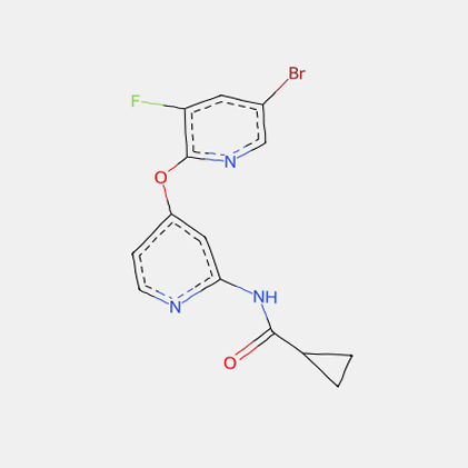 O=C(Nc1cc(Oc2ncc(Br)cc2F)ccn1)C1CC1